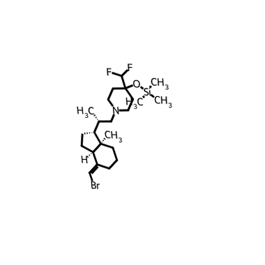 C[C@H](CN1CCC(O[Si](C)(C)C)(C(F)F)CC1)[C@H]1CC[C@@H]2/C(=C/Br)CCC[C@@]21C